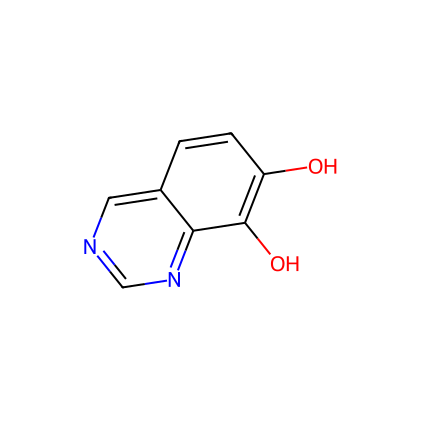 Oc1ccc2cncnc2c1O